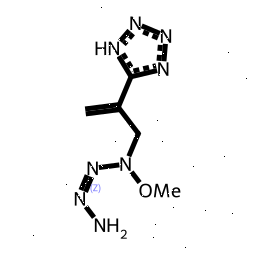 C=C(CN(/N=N\N)OC)c1nnn[nH]1